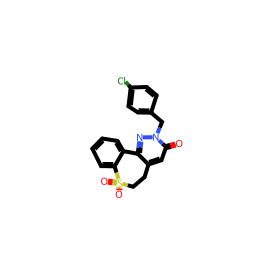 O=c1cc2c(nn1Cc1ccc(Cl)cc1)-c1ccccc1S(=O)(=O)CC2